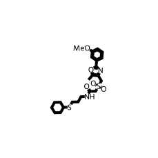 COc1cccc(-c2nc(CS(=O)(=O)CC(=O)NCCCSC3CCCCC3)c(C)o2)c1